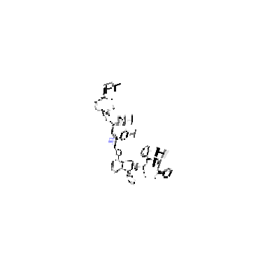 CC(C)C1CCN(CC(=N)/C=C(\O)COc2cccc3c2CN(C2CCC(=O)NC2=O)C3=O)CC1